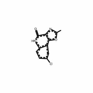 Cc1nc2c(=O)[nH]c3ccc(Cl)cc3c2o1